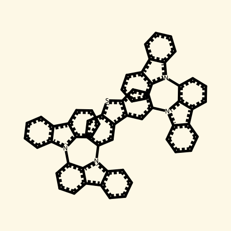 c1ccc2c(c1)c1ccccc1n2-c1cccc2c3ccccc3n(-c3ccc4sc5ccc(-n6c7ccccc7c7cccc(-n8c9ccccc9c9ccccc98)c76)cc5c4c3)c12